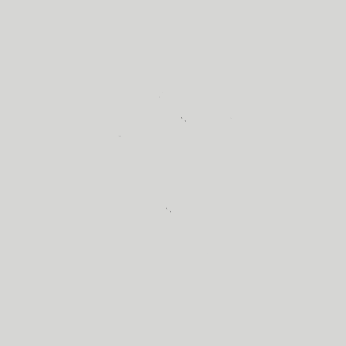 CN(C)c1cc(CO)ncc1Br